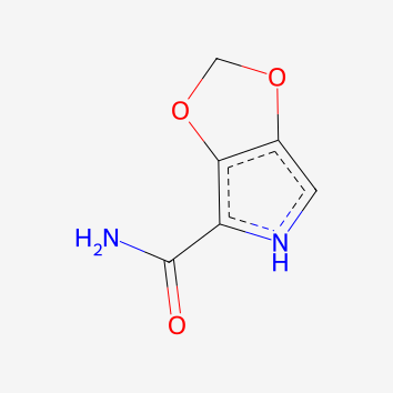 NC(=O)c1[nH]cc2c1OCO2